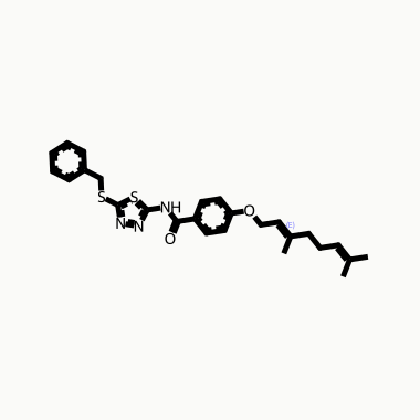 CC(C)=CCC/C(C)=C/COc1ccc(C(=O)Nc2nnc(SCc3ccccc3)s2)cc1